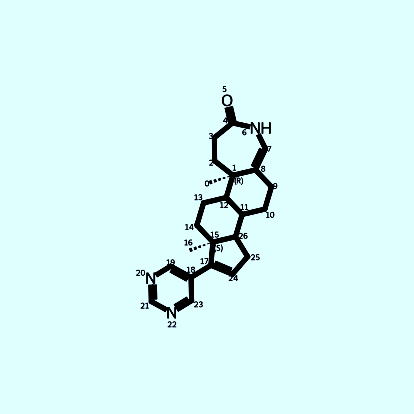 C[C@]12CCC(=O)NC=C1CCC1C2CC[C@]2(C)C(c3cncnc3)=CCC12